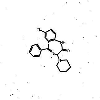 O=C1Nc2ccc(Cl)cc2C(c2ccccc2)=NC1N1CCCCC1